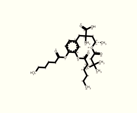 CCCCCC(=O)Oc1ccc(CC(N)(C[C@H](C)OC(=O)CC(C)(C)C)C(=O)O)cc1OC(=O)CCCCC